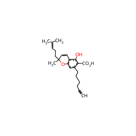 C#CCCCCc1cc2c(c(O)c1C(=O)O)C=CC(C)(CCC=C(C)C)O2